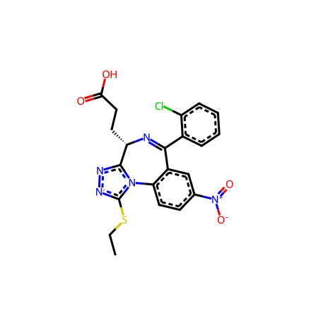 CCSc1nnc2n1-c1ccc([N+](=O)[O-])cc1C(c1ccccc1Cl)=N[C@H]2CCC(=O)O